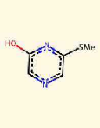 CSc1cncc(O)n1